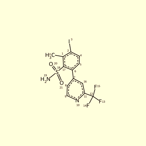 Cc1c(I)ccc(-c2ccnc(C(F)(F)F)c2)c1S(N)(=O)=O